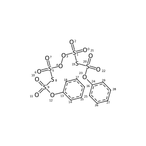 O=S(=O)(OOS(=O)(=O)SS(=O)(=O)Oc1ccccc1)SS(=O)(=O)Oc1ccccc1